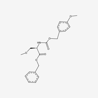 COC[C@@H](NC(=O)OCc1ccc(OC)cc1)C(=O)OCc1ccccc1